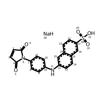 O=C1C=CC(=O)N1c1ccc(Nc2ccc3cc(S(=O)(=O)O)ccc3c2)cc1.[NaH]